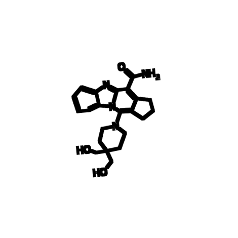 NC(=O)c1c2c(c(N3CCC(CO)(CO)CC3)n3c1nc1ccccc13)CCC2